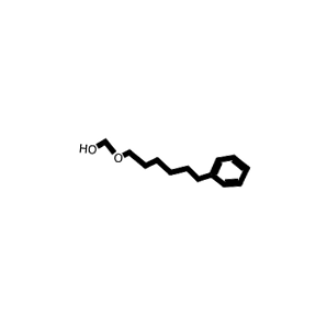 OCOCCCCCCc1ccccc1